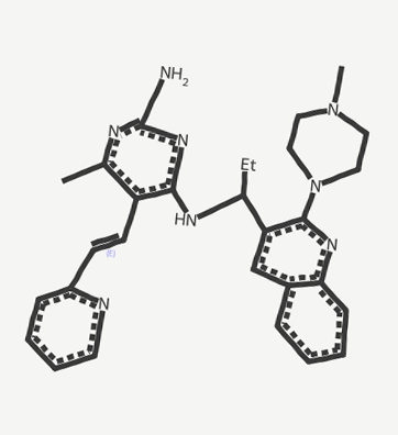 CCC(Nc1nc(N)nc(C)c1/C=C/c1ccccn1)c1cc2ccccc2nc1N1CCN(C)CC1